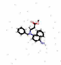 COC(=O)C[C@H](C)N(Cc1ccccc1)c1ccc(N)c2ccccc12